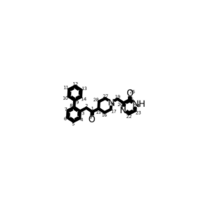 O=C(Cc1ccccc1-c1ccccc1)C1CCN(Cc2ncc[nH]c2=O)CC1